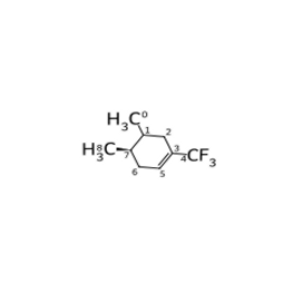 CC1CC(C(F)(F)F)=CC[C@H]1C